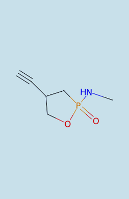 C#CC1COP(=O)(NC)C1